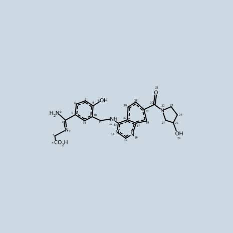 NC(=NCC(=O)O)c1ccc(O)c(CNc2ncnc3cc(C(=O)N4CCC(O)C4)ccc23)c1